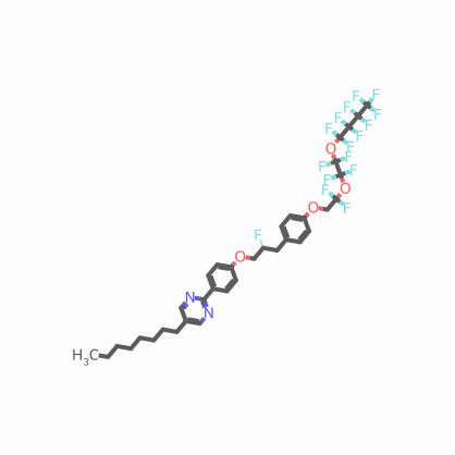 CCCCCCCCc1cnc(-c2ccc(OC[C@H](F)Cc3ccc(OCC(F)(F)OC(F)(F)C(F)(F)OC(F)(F)C(F)(F)C(F)(F)C(F)(F)F)cc3)cc2)nc1